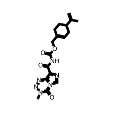 C=C(C)C1CC=C(COC(=O)NC(=O)c2ncn3c(=O)n(C)nnc23)CC1